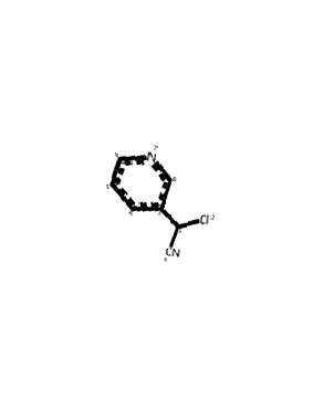 N#CC(Cl)c1cccnc1